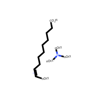 CCCCCCCC/C=C\CCCCCCCC(=O)O.CCCCCCCCN(CCCCCCCC)CCCCCCCC